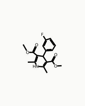 COC(=O)C1=C(C)NC(C)=C(C(=O)OC)C1c1cccc(F)c1